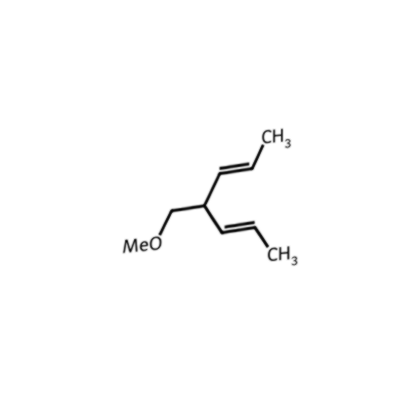 CC=CC(C=CC)COC